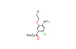 COC(=O)c1cc(OCCBr)c([N+](=O)[O-])cc1Cl